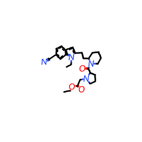 CCOC(=O)CN1CCCC1C(=O)N1CCCCC1CCc1cc2ccc(C#N)cc2n1CC